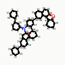 c1ccc(-c2cccc(N(c3ccc4ccc(-c5ccccc5)cc4c3)c3ccc(-c4ccc5ccc6oc7ccccc7c6c5c4)cc3-c3ccccc3)c2)cc1